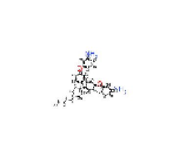 CCCCCC1CCC(c2ccc(Oc3cccc(N)c3)cc2)(c2ccc(Oc3cccc(N)c3)cc2)CC1